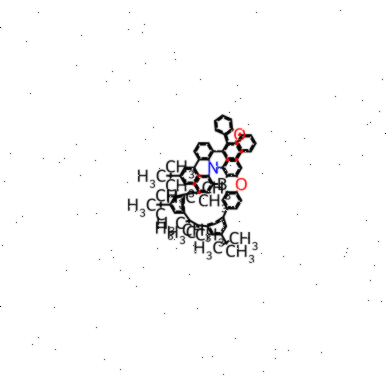 CC(C)(C)c1cc(-c2cccc(-c3cccc4oc5ccccc5c34)c2N2c3ccc4cc3B3c5cc(ccc5Oc5cc(-c6ccccc6)cc2c53)-c2cc(C(C)(C)C)cc(c2)C(C)(C)C(C)(C)c2cc-4cc(C(C)(C)C)c2)cc(C(C)(C)C)c1